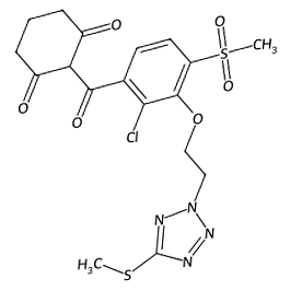 CSc1nnn(CCOc2c(S(C)(=O)=O)ccc(C(=O)C3C(=O)CCCC3=O)c2Cl)n1